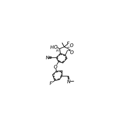 CN=Cc1cc(F)cc(Oc2ccc3c(c2C#N)[C@@H](O)C(C)(F)S3(=O)=O)c1